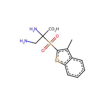 Cc1c(S(=O)(=O)C(N)(CN)C(=O)O)sc2ccccc12